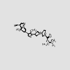 Cc1c(-c2cc(O)c3c(C#N)cnn3c2)cnn1C1CN([C@H]2CCN(C(=O)OC(C)(C)C)C2)C1